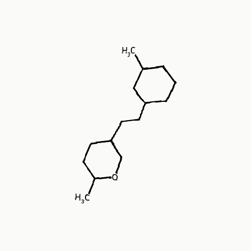 CC1CCCC(CCC2CCC(C)OC2)C1